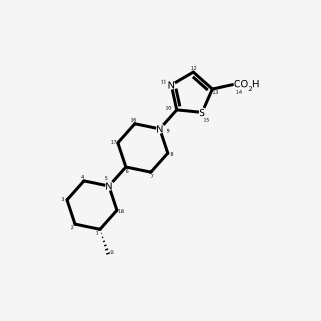 C[C@@H]1CCCN(C2CCN(c3ncc(C(=O)O)s3)CC2)C1